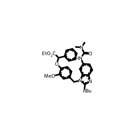 CCCCc1nc2ccc(NC(=O)N(C)C)cc2n1Cc1ccc(OC(C(=O)OCC)c2ccccc2)c(OC)c1